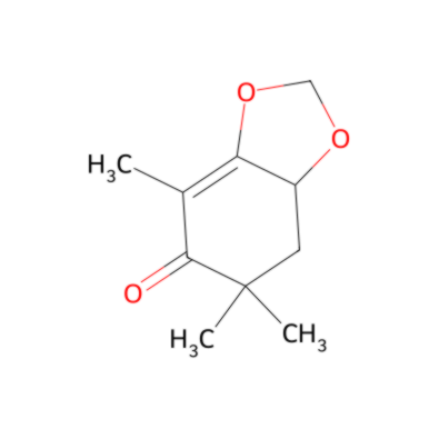 CC1=C2OCOC2CC(C)(C)C1=O